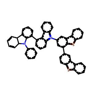 C1=CC2c3cccc(-c4cccc5c4c4ccccc4n5-c4cc(-c5ccc6sc7ccccc7c6c5)c5sc6ccccc6c5c4)c3N(c3ccccc3)C2C=C1